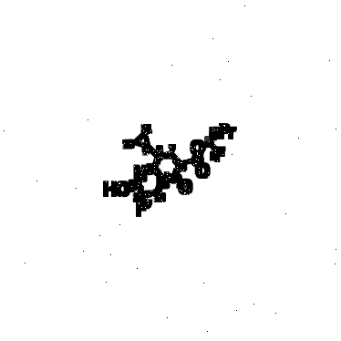 CCCC(F)OC(=O)c1cc(C2CC2)c2nc(O)c(F)cn2c1=O